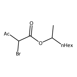 CCCCCCC(C)OC(=O)C(Br)C(C)=O